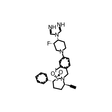 C#C[C@H]1CC[C@H](c2ccccc2)S(=O)(=O)N1Cc1ccc(N2CC[C@@H](N(C=N)C=N)[C@@H](F)C2)cc1I